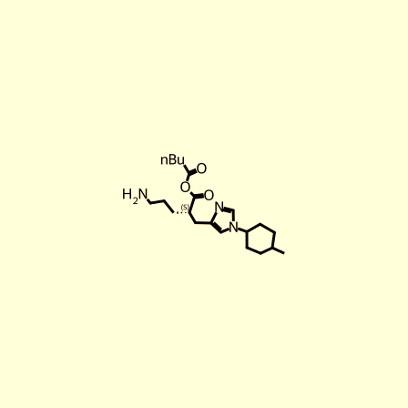 CCCCC(=O)OC(=O)[C@@H](CCCN)Cc1cn(C2CCC(C)CC2)cn1